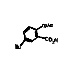 CCC(C)c1ccc(OC)c(C(=O)O)c1